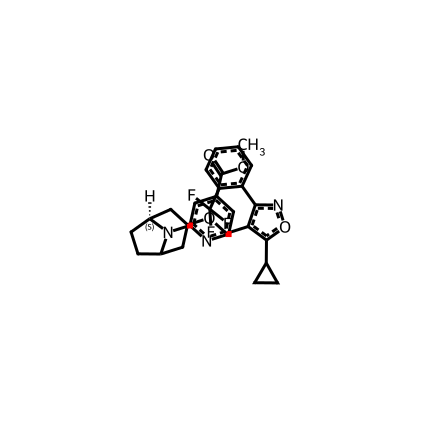 COC(=O)c1ccnc(N2C3CC[C@H]2CC(OCc2c(-c4ccccc4C(F)(F)F)noc2C2CC2)C3)c1